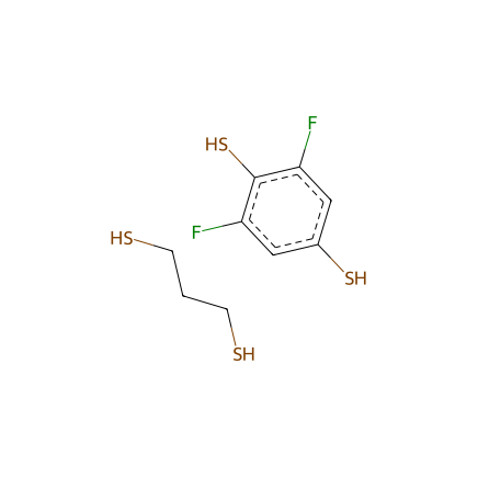 Fc1cc(S)cc(F)c1S.SCCCS